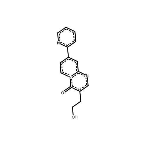 O=c1c(CCO)cnc2cc(-c3ccccn3)ccn12